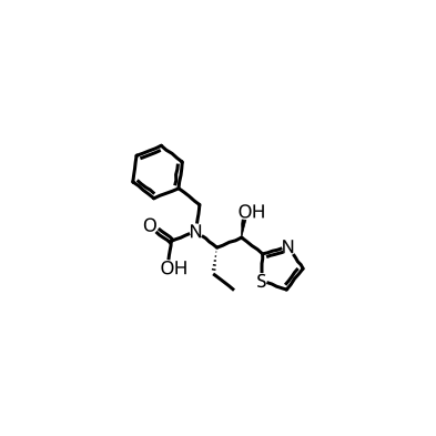 CC[C@@H]([C@@H](O)c1nccs1)N(Cc1ccccc1)C(=O)O